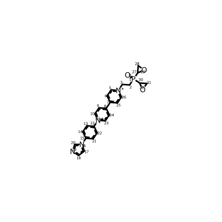 O=P(CC[n+]1ccc(-c2cc[n+](-c3ccc(-n4ccnc4)cc3)cc2)cc1)(C1CO1)C1CO1